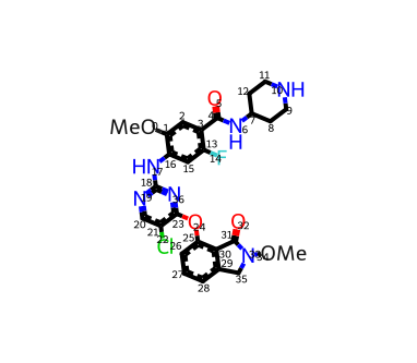 COc1cc(C(=O)NC2CCNCC2)c(F)cc1Nc1ncc(Cl)c(Oc2cccc3c2C(=O)N(OC)C3)n1